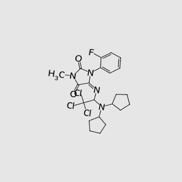 CN1C(=O)/C(=N\C(N(C2CCCC2)C2CCCC2)C(Cl)(Cl)Cl)N(c2ccccc2F)C1=O